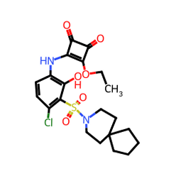 CCOc1c(Nc2ccc(Cl)c(S(=O)(=O)N3CCC4(CCCC4)CC3)c2O)c(=O)c1=O